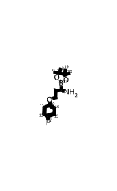 CC1(C)OB(C(N)CCOc2ccc(F)cc2)OC1(C)C